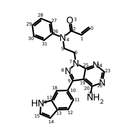 C=CC(=O)N(CCn1nc(-c2ccc3cc[nH]c3c2)c2c(N)ncnc21)c1ccccc1